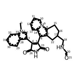 Cn1cc(C2=C(c3c4c(n5ccccc35)CCC(CNC=O)C4)C(=O)NC2=O)c2ccccc21